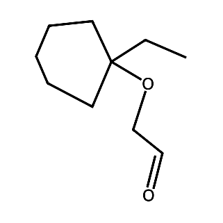 CCC1(OCC=O)CCCCC1